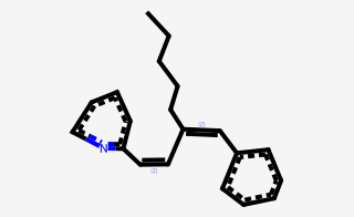 CCCCCC(/C=C\c1ccccn1)=C/c1ccccc1